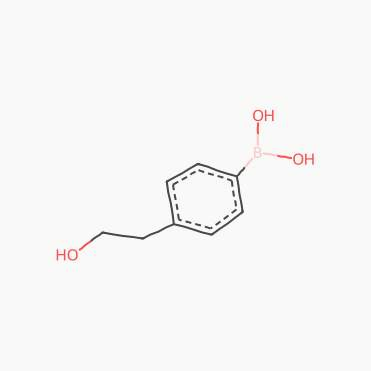 OCCc1ccc(B(O)O)cc1